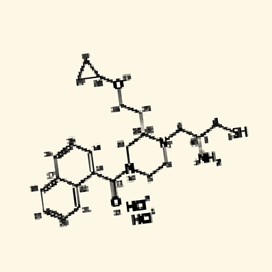 Cl.Cl.N[C@@H](CS)CN1CCN(C(=O)c2cccc3ccccc23)C[C@@H]1CCOC1CC1